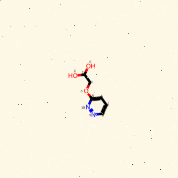 OC(O)COc1cc[c]nn1